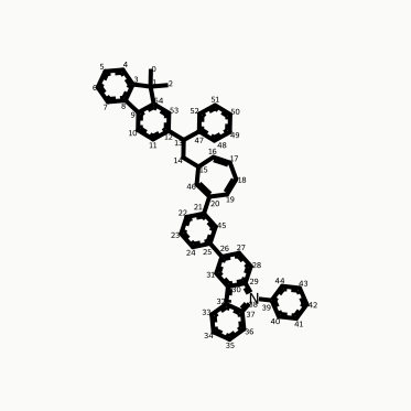 CC1(C)c2ccccc2-c2ccc(C(CC3C=CC=CC(c4cccc(-c5ccc6c(c5)c5ccccc5n6-c5ccccc5)c4)=C3)c3ccccc3)cc21